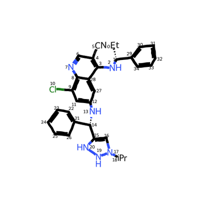 CC[C@@H](Nc1c(C#N)cnc2c(Cl)cc(N[C@H](C3=CN(C(C)C)NN3)c3ccccc3)cc12)c1ccccc1